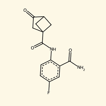 NC(=O)c1cc(F)ccc1NC(=O)C12CC(=O)C(C1)C2